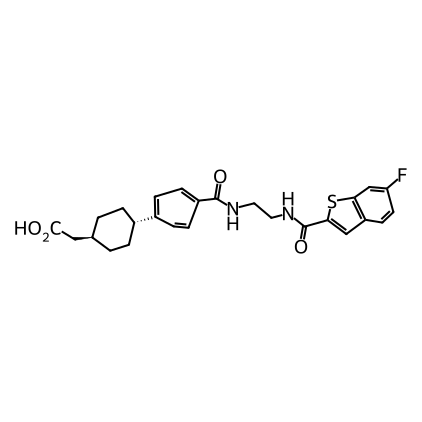 O=C(O)C[C@H]1CC[C@H](c2ccc(C(=O)NCCNC(=O)c3cc4ccc(F)cc4s3)cc2)CC1